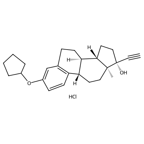 C#C[C@]1(O)CC[C@H]2[C@@H]3CCc4cc(OC5CCCC5)ccc4[C@H]3CC[C@@]21C.Cl